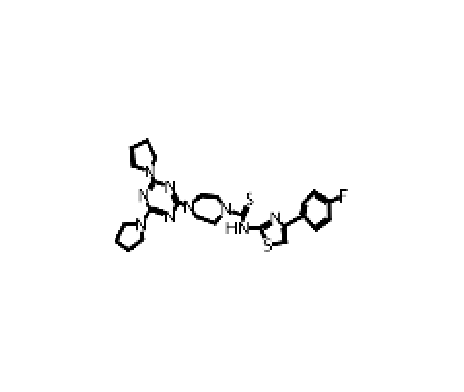 Fc1ccc(-c2csc(NC(=S)N3CCN(c4nc(N5CCCC5)nc(N5CCCC5)n4)CC3)n2)cc1